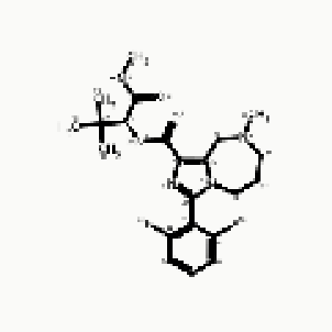 CNC(=O)[C@@H](NC(=O)c1nc(-c2c(F)cccc2F)n2c1CN(C)CCC2)C(C)(C)C